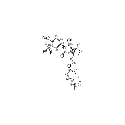 CC12CCC(CCOc3ccc(C(F)(F)F)cc3)(O1)C1C(=O)N(c3ccc(C#N)c(C(F)(F)F)c3)C(=O)C12